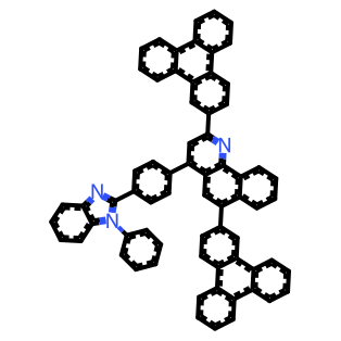 c1ccc(-n2c(-c3ccc(-c4cc(-c5ccc6c7ccccc7c7ccccc7c6c5)nc5c4cc(-c4ccc6c7ccccc7c7ccccc7c6c4)c4ccccc45)cc3)nc3ccccc32)cc1